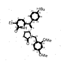 CCc1ccc(/C(=C\[C@H]2CCC(=O)N2Cc2ccc(OC)cc2OC)c2ccc(C(C)(C)C)cc2)[nH]c1=O